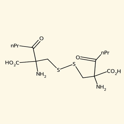 CCCC(=O)C(N)(CSSCC(N)(C(=O)O)C(=O)CCC)C(=O)O